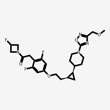 COCc1noc(N2CCC([C@H]3C[C@H]3CCOc3cc(F)c(CC(=O)N4CC(F)C4)c(F)c3)CC2)n1